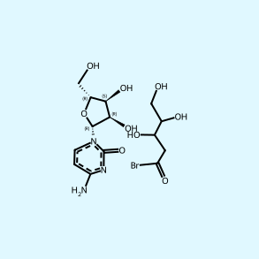 Nc1ccn([C@@H]2O[C@H](CO)[C@@H](O)[C@H]2O)c(=O)n1.O=C(Br)CC(O)C(O)CO